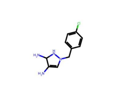 NC1=CN(Cc2ccc(Cl)cc2)NC1N